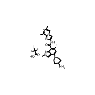 Cc1cn2cc(NC(=O)c3c(F)cc(N4CCC(N)CC4)c4cn(C)nc34)nc2c(C)n1.O=C(O)C(F)(F)F